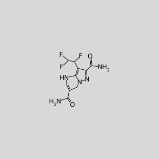 NC(=O)C1=CNc2c(C(F)C(F)F)c(C(N)=O)nn2C1